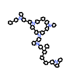 c1ccc(-c2ccc(-n3c4ccccc4c4cc(-c5ccc6c(c5)c5ccc(-c7ccc8c(c7)c7cc(-c9ccc%10c(c9)c9ccccc9n%10-c9ccccc9)ccc7n8-c7ccc8c(c7)c7ccccc7n8-c7ccc(-c8cc(-c9cccc(-c%10cccc(-c%11ccc%12c(c%11)c%11cccc%13c%14ccccc%14n%12c%13%11)c%10)c9)ccc8-c8ccccc8)cc7)cc5n6-c5ccc(-c6ccccc6)cc5)ccc43)cc2)cc1